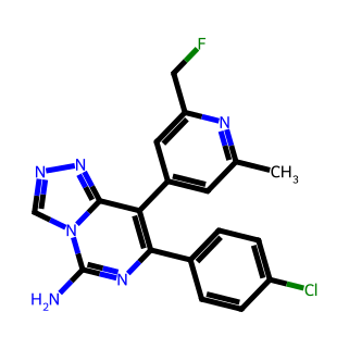 Cc1cc(-c2c(-c3ccc(Cl)cc3)nc(N)n3cnnc23)cc(CF)n1